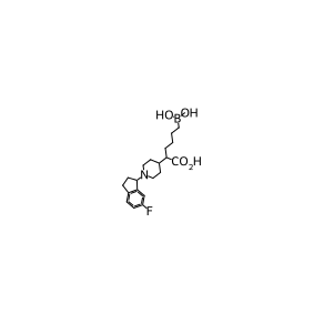 O=C(O)C(CCCCB(O)O)C1CCN(C2CCc3ccc(F)cc32)CC1